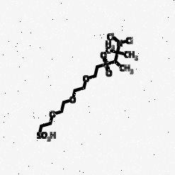 CC(C(C)(C)N(Cl)Cl)S(=O)(=O)CCOCCOCCOCCS(=O)(=O)O